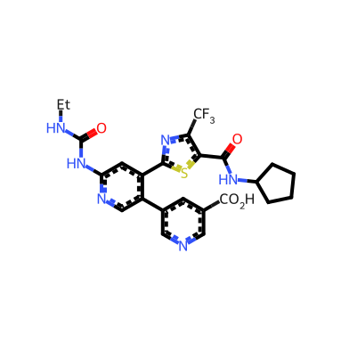 CCNC(=O)Nc1cc(-c2nc(C(F)(F)F)c(C(=O)NC3CCCC3)s2)c(-c2cncc(C(=O)O)c2)cn1